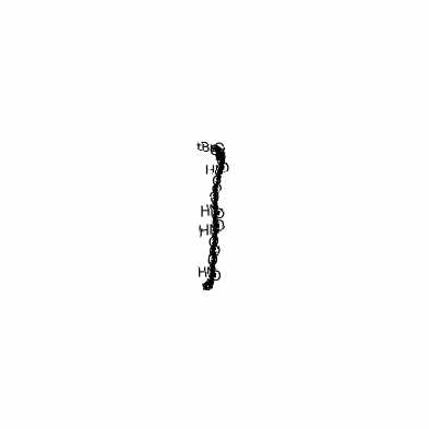 CC(C)(C)OC(=O)N1CCN(CCC(=O)NCCCOCCOCCOCCCNC(=O)CCCC(=O)NCCCOCCOCCOCCCNC(=O)CCN2CCCCC2)CC1